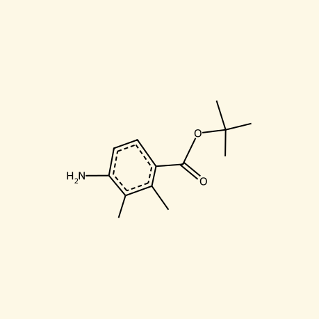 Cc1c(N)ccc(C(=O)OC(C)(C)C)c1C